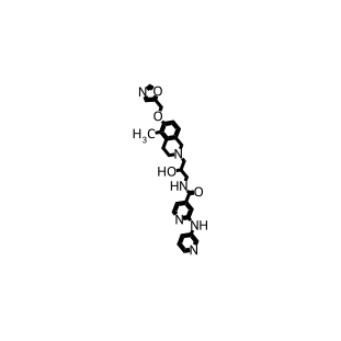 Cc1c(OCc2cnco2)ccc2c1CCN(CC(O)CNC(=O)c1ccnc(Nc3cccnc3)c1)C2